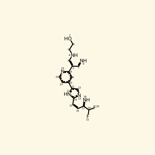 N=C/C(=C\NCCO)c1cc(-c2cnc(/C=C\C(=N)C(F)F)[nH]2)ccn1